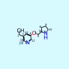 CCc1cc(OC[C@H]2CCCN2)cnc1F